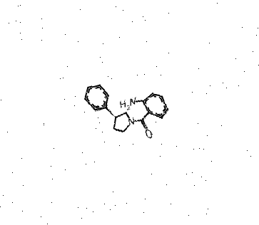 Nc1ccccc1C(=O)N1CC[C@@H](c2ccccc2)C1